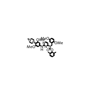 COc1ccc(OC)c(CN(C(=O)Oc2c(C)cccc2C)c2ccnc(Nc3cc(OC)c(N4CCN(C)CC4)c(OC)c3)n2)c1